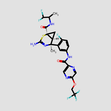 CC(NC(=O)[C@]12C[C@H]1[C@@](C)(c1cc(NC(=O)c3cnc(OCC(F)(F)F)cn3)ccc1F)N=C(N)S2)C(F)F